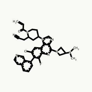 C=CC(=O)N1CCC(n2cnc3c(N4CC(N(C)C)C4)nc4c(F)c(-c5cccc6ccncc56)c(Cl)cc4c32)CC1CC#N